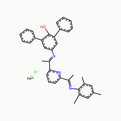 C/C(=N\c1cc(-c2ccccc2)c(O)c(-c2ccccc2)c1)c1cccc(/C(C)=N/c2c(C)cc(C)cc2C)n1.[Cl-].[Cl-].[Fe+2]